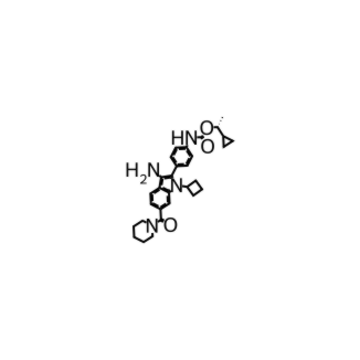 C[C@@H](OC(=O)Nc1ccc(-c2c(N)c3ccc(C(=O)N4CCCCC4)cc3n2C2CCC2)cc1)C1CC1